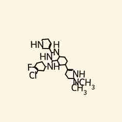 CN(C)[C@@H]1CCC(C2CCC3NC(C4=CCCNC4)NC(N[C@H]4CCC(F)=C(Cl)C4)C3C2)=CN1